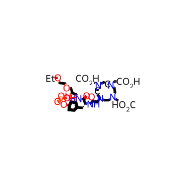 CCOCCOCCCNC(=O)[C@@H](Cc1ccc(OP(=O)(O)O)cc1)NC(=O)CN1CCN(CC(=O)O)CCN(CC(=O)O)CCN(CC(=O)O)CC1